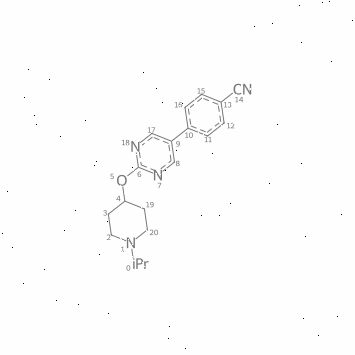 CC(C)N1CCC(Oc2ncc(-c3ccc(C#N)cc3)cn2)CC1